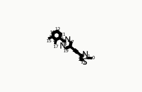 Cc1nc(C#Cc2cnc(-c3cccc(C)c3C)nc2)cs1